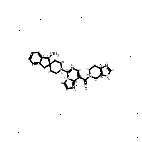 N[C@@H]1c2ccccc2CC12CCN(c1ncc(C(=O)N3CCc4ncsc4C3)c3nccn13)CC2